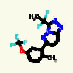 Cc1ccc(OC(F)(F)F)cc1-c1ccc2nnc(C(C)(F)F)n2n1